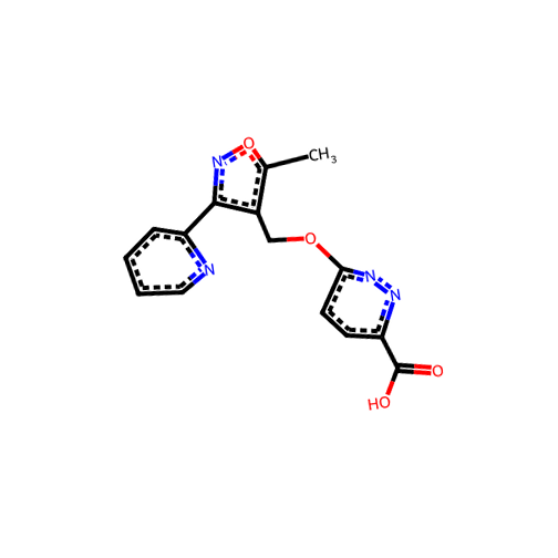 Cc1onc(-c2ccccn2)c1COc1ccc(C(=O)O)nn1